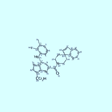 Cc1cccc(Nc2cc(C(=O)N3CCC4(C=Cc5ccccc54)CC3)nc3c(C(=O)O)cnn23)c1F